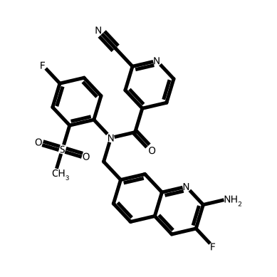 CS(=O)(=O)c1cc(F)ccc1N(Cc1ccc2cc(F)c(N)nc2c1)C(=O)c1ccnc(C#N)c1